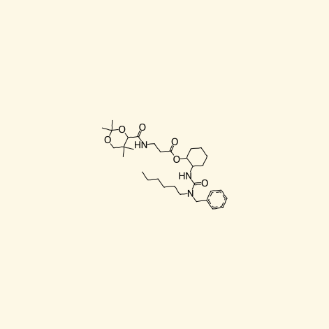 CCCCCCN(Cc1ccccc1)C(=O)NC1CCCCC1OC(=O)CCNC(=O)C1OC(C)(C)OCC1(C)C